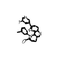 Cc1cccc(-n2c(=O)ccc3cnc4ccc(-c5cncc(F)c5)nc4c32)c1